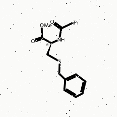 COC(=O)[C@H](CSCc1ccccc1)NC(=O)C(C)C